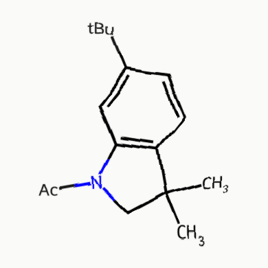 CC(=O)N1CC(C)(C)c2ccc(C(C)(C)C)cc21